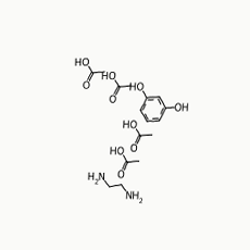 CC(=O)O.CC(=O)O.CC(=O)O.CC(=O)O.NCCN.Oc1cccc(O)c1